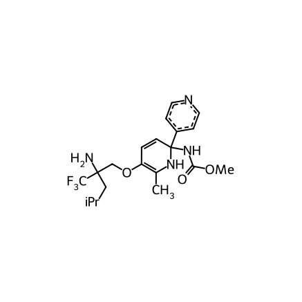 COC(=O)NC1(c2ccncc2)C=CC(OCC(N)(CC(C)C)C(F)(F)F)=C(C)N1